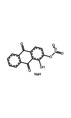 O=C1c2ccccc2C(=O)c2c1ccc(O[SH](=O)=O)c2O.[NaH]